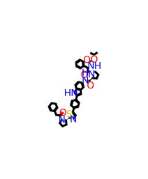 CC(C)OC(=O)N[C@@H](C(=O)N1CCC[C@H]1C(=O)Nc1ccc2[nH]c(-c3ccc(-c4cnc([C@@H]5CCCN5C(=O)CC5=CCCC=C5)s4)cc3)cc2c1)c1ccccc1